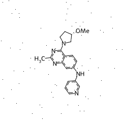 CO[C@H]1CCN(c2nc(C)nc3cc(Nc4cccnc4)ccc23)C1